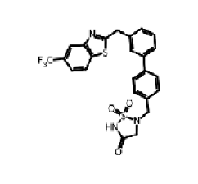 O=C1CN(Cc2ccc(-c3cccc(Cc4nc5cc(C(F)(F)F)ccc5s4)c3)cc2)S(=O)(=O)N1